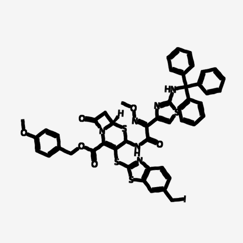 CON=C(C(=O)NC1S[C@H]2CC(=O)N2C(C(=O)OCc2ccc(OC)cc2)=C1Sc1nc2ccc(CI)cc2s1)c1csc(NC(c2ccccc2)(c2ccccc2)c2ccccc2)n1